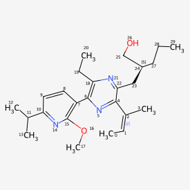 C/C=C(/C)c1nc(-c2ccc(C(C)C)nc2OC)c(CC)nc1C[C@@H](CO)CCC